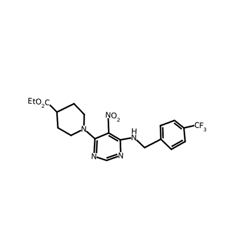 CCOC(=O)C1CCN(c2ncnc(NCc3ccc(C(F)(F)F)cc3)c2[N+](=O)[O-])CC1